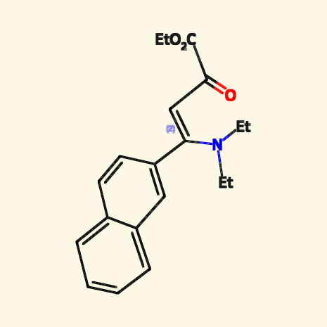 CCOC(=O)C(=O)/C=C(/c1ccc2ccccc2c1)N(CC)CC